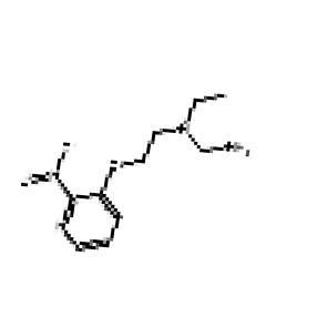 CCN(CN)CCOc1cccnc1[N+](=O)[O-]